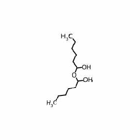 CCCCCC(O)OC(O)CCCCC